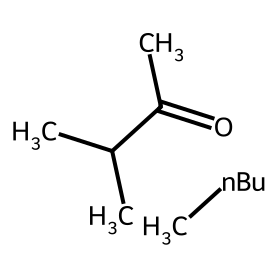 CC(=O)C(C)C.CCCCC